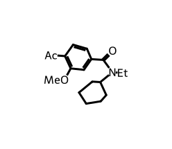 CCN(C(=O)c1ccc(C(C)=O)c(OC)c1)C1CCCCC1